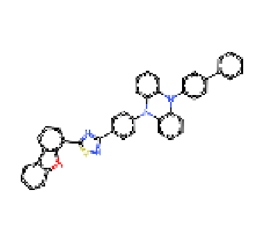 c1ccc(-c2ccc(N3c4ccccc4N(c4ccc(-c5nsc(-c6cccc7c6oc6ccccc67)n5)cc4)c4ccccc43)cc2)cc1